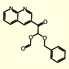 O=COC(OCc1ccccc1)C(=O)c1cnc2ncccc2c1